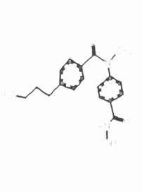 CCCCc1ccc(C(=O)N(C)c2ccc(C(=O)NO)cc2)cc1